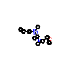 c1ccc(-c2nc(-c3ccc(-c4ccc5ccccc5c4)cc3)nc(-c3ccc(-n4c5ccccc5c5ccc(-c6cccc7oc8ccccc8c67)cc54)c4ccccc34)n2)cc1